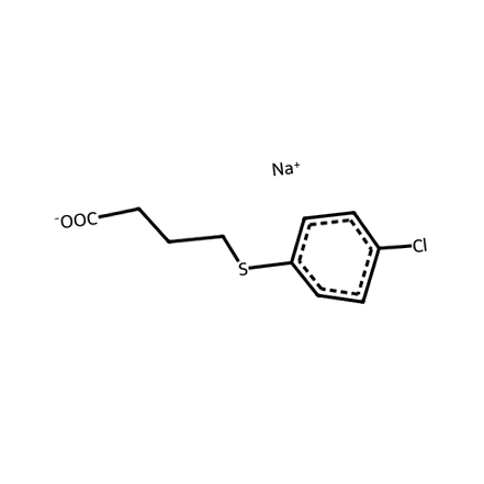 O=C([O-])CCCSc1ccc(Cl)cc1.[Na+]